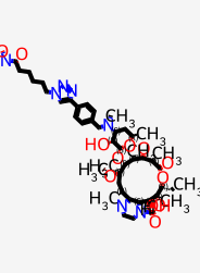 CC[C@H]1OC(=O)[C@H](C)C(=O)[C@H](C)[C@@H](O[C@@H]2O[C@H](C)C[C@H](N(C)Cc3ccc(-c4cn(CCCCCC(=O)NO)nn4)cc3)[C@@H]2O)[C@](C)(OC)C[C@@H](C)C2=NCCN3C(=O)O[C@@]1(C)[C@H](O)[C@H]23